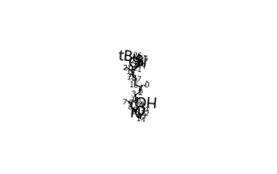 CC(=CC[C@H](O)C(C)=Cc1cccc(C)n1)CCC=C(C)CO[Si](C)(C)C(C)(C)C